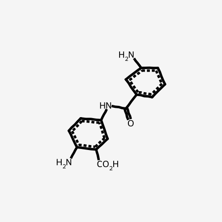 Nc1cccc(C(=O)Nc2ccc(N)c(C(=O)O)c2)c1